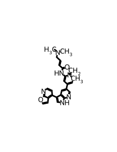 C=N/C(=C\C(=C/C)c1cnc2[nH]cc(-c3ccnc4occc34)c2c1)NC(=O)/C=C/CN(C)C